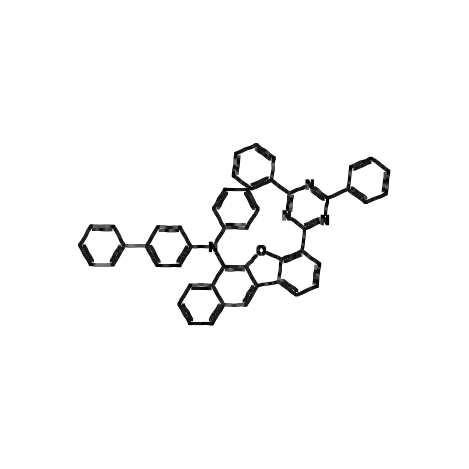 c1ccc(-c2ccc(N(c3ccccc3)c3c4ccccc4cc4c3oc3c(-c5nc(-c6ccccc6)nc(-c6ccccc6)n5)cccc34)cc2)cc1